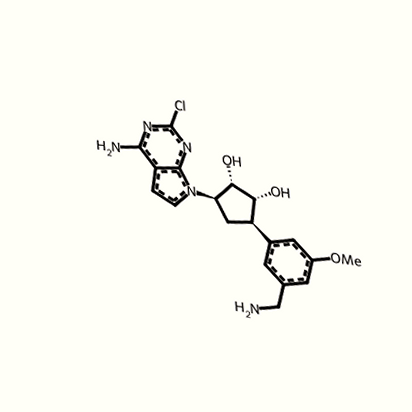 COc1cc(CN)cc([C@H]2C[C@@H](n3ccc4c(N)nc(Cl)nc43)[C@H](O)[C@@H]2O)c1